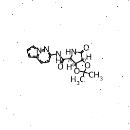 CC1(C)O[C@H]2[C@@H](C(=O)Nc3ccc4cccn4n3)NC(=O)[C@H]2O1